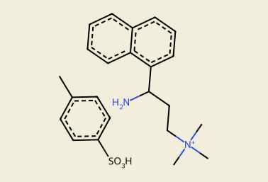 C[N+](C)(C)CCC(N)c1cccc2ccccc12.Cc1ccc(S(=O)(=O)O)cc1